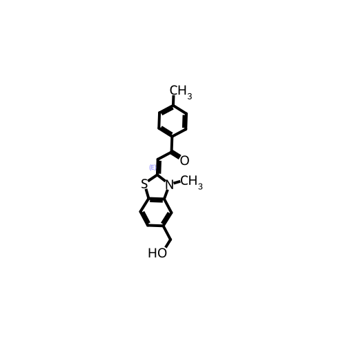 Cc1ccc(C(=O)/C=C2/Sc3ccc(CO)cc3N2C)cc1